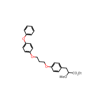 CCOC(=O)C(Cc1ccc(OCCCOc2ccc(Oc3ccccc3)cc2)cc1)OC